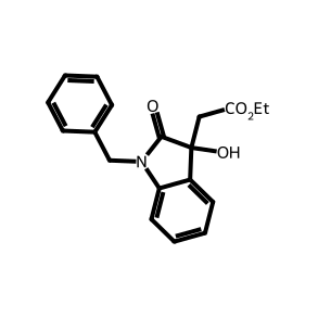 CCOC(=O)CC1(O)C(=O)N(Cc2ccccc2)c2ccccc21